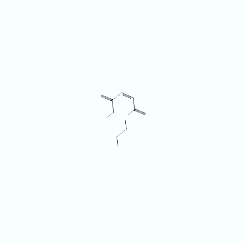 C=C(/C=C\C(=C)OCCO)CO